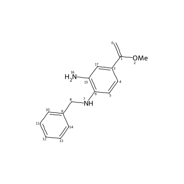 C=C(OC)c1ccc(NCc2ccccc2)c(N)c1